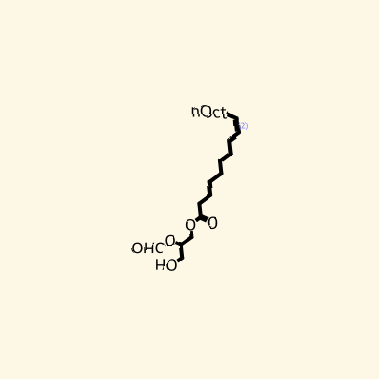 CCCCCCCC/C=C\CCCCCCCC(=O)OCC(CO)OC=O